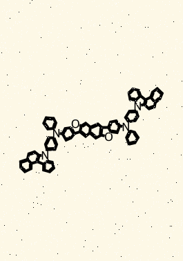 c1ccc(N(c2ccc(-n3c4ccccc4c4c5ccccc5ccc43)cc2)c2ccc3c(c2)oc2cc4cc5c(cc4cc23)oc2cc(N(c3ccccc3)c3ccc(-n4c6ccccc6c6c7ccccc7ccc64)cc3)ccc25)cc1